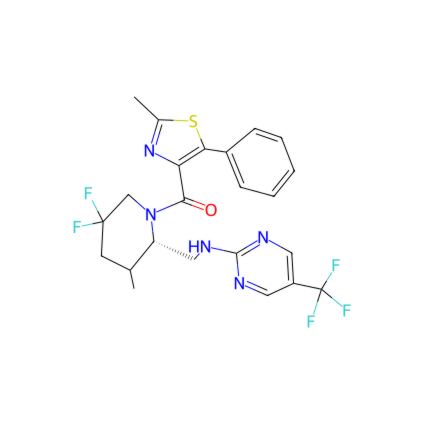 Cc1nc(C(=O)N2CC(F)(F)CC(C)[C@H]2CNc2ncc(C(F)(F)F)cn2)c(-c2ccccc2)s1